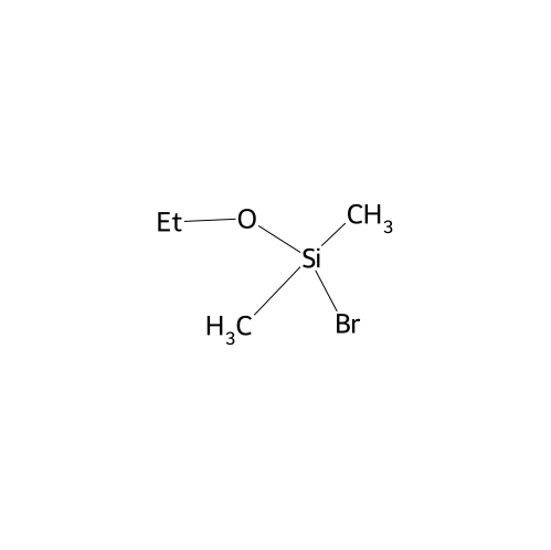 CCO[Si](C)(C)Br